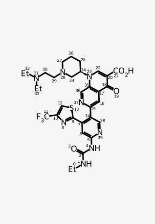 CCNC(=O)Nc1cc(-c2nc(C(F)(F)F)cs2)c(-c2cc3c(=O)c(C(=O)O)cn([C@@H]4CCCN(CCN(CC)CC)C4)c3cn2)cn1